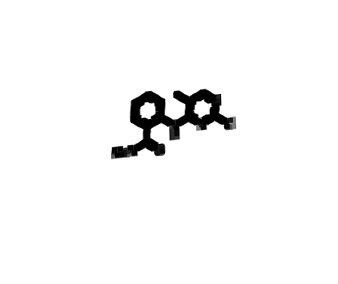 CNC(=O)c1ccccc1Nc1nc(Cl)ncc1C